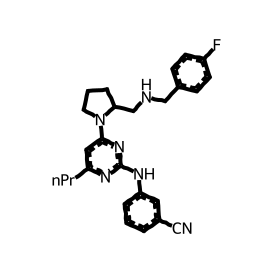 CCCc1cc(N2CCCC2CNCc2ccc(F)cc2)nc(Nc2cccc(C#N)c2)n1